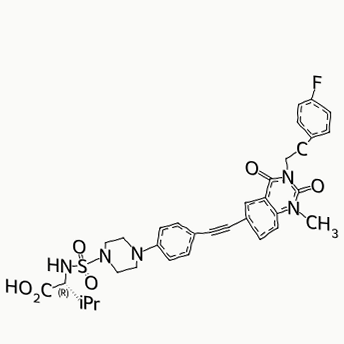 CC(C)[C@@H](NS(=O)(=O)N1CCN(c2ccc(C#Cc3ccc4c(c3)c(=O)n(CCc3ccc(F)cc3)c(=O)n4C)cc2)CC1)C(=O)O